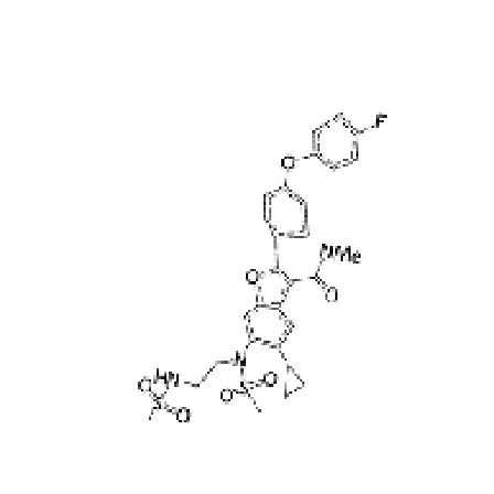 CNC(=O)c1c(-c2ccc(Oc3ccc(F)cc3)cc2)oc2cc(N(CCNS(C)(=O)=O)S(C)(=O)=O)c(C3CC3)cc12